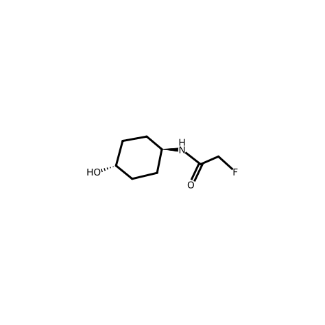 O=C(CF)N[C@H]1CC[C@H](O)CC1